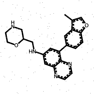 Cc1coc2ccc(-c3cc(NCC4CNCCO4)cc4nccnc34)cc12